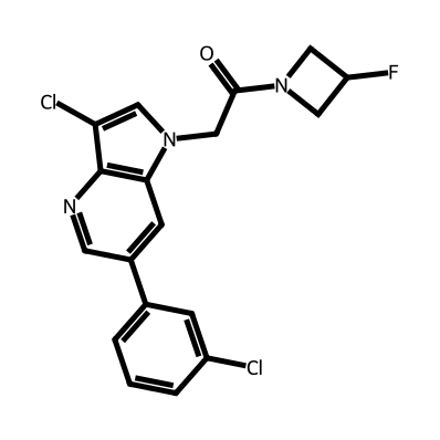 O=C(Cn1cc(Cl)c2ncc(-c3cccc(Cl)c3)cc21)N1CC(F)C1